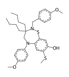 CCCCC1(CCCC)CN(c2ccc(OC)cc2)c2cc(SC)c(O)cc2SN1Cc1ccc(OC)cc1